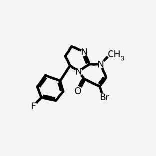 CN1C=C(Br)C(=O)N2C1=NCCC2c1ccc(F)cc1